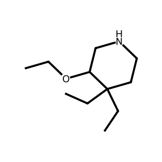 CCOC1CNCCC1(CC)CC